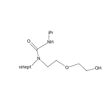 CCCCCCCN(CCOCCO)C(=O)NC(C)C